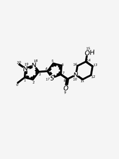 Cc1cc(-c2ccc(C(=O)N3CCCC(O)C3)s2)nn1C